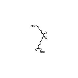 CCCCCCCCCCCCCCC(=O)C(=O)OCCCCC(=O)OC(C)(C)C